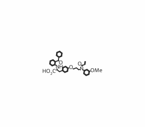 C=CC(=O)N(CCCOc1ccc(C[C@H](Nc2ccccc2C(=O)c2ccccc2)C(=O)O)cc1)c1cccc(OC)c1